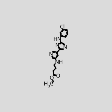 CCOC(=O)CCCNc1cncc(-c2cncc(Nc3cccc(Cl)c3)n2)c1